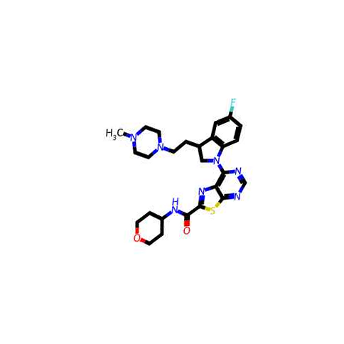 CN1CCN(CCC2CN(c3ncnc4sc(C(=O)NC5CCOCC5)nc34)c3ccc(F)cc32)CC1